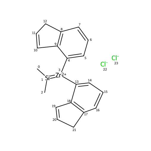 C[Si](C)=[Zr+2]([c]1cccc2c1C=CC2)[c]1cccc2c1C=CC2.[Cl-].[Cl-]